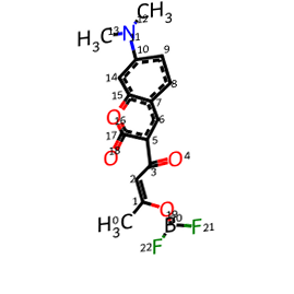 CC(=CC(=O)c1cc2ccc(N(C)C)cc2oc1=O)OB(F)F